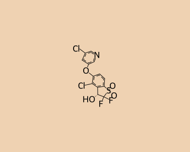 O=S1(=O)c2ccc(Oc3cncc(Cl)c3)c(Cl)c2[C@@H](O)C1(F)F